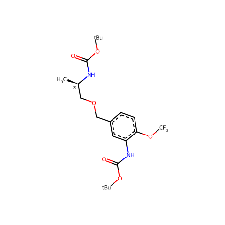 C[C@H](COCc1ccc(OC(F)(F)F)c(NC(=O)OC(C)(C)C)c1)NC(=O)OC(C)(C)C